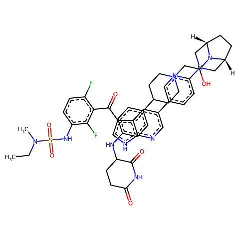 CCN(C)S(=O)(=O)Nc1ccc(F)c(C(=O)c2c[nH]c3ncc(-c4ccc(N5C[C@H]6CC[C@@H](C5)N6C(O)CN5CCC(c6ccc(NC7CCC(=O)NC7=O)cc6)CC5)nc4)cc23)c1F